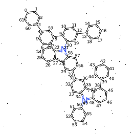 c1ccc(-c2cccc(-c3ccc(-c4ccccc4)cc3-n3c4ccccc4c4cc(-c5ccc6c(c5)c5c(-c7ccccc7)cccc5n6-c5ccccc5)ccc43)c2)cc1